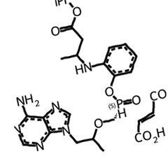 CC(CC(=O)OC(C)C)Nc1ccccc1O[P@H](=O)COC(C)Cn1cnc2c(N)ncnc21.O=C(O)C=CC(=O)O